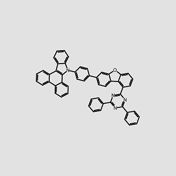 c1ccc(-c2nc(-c3ccccc3)nc(-c3cccc4oc5cc(-c6ccc(-n7c8ccccc8c8c9ccccc9c9ccccc9c87)cc6)ccc5c34)n2)cc1